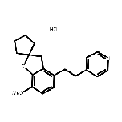 COc1ccc(CCc2ccncc2)c2c1OC1(CCCC1)C2.Cl